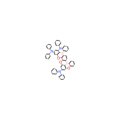 c1ccc(N(c2ccccc2)c2cc3c4c(c2)Oc2c(ccc5c2Oc2cc(N(c6ccccc6)c6ccccc6)cc6c2B5c2ccccc2N6c2ccccc2)B4c2ccccc2O3)cc1